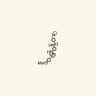 COc1ccc(-c2ccnc(Nc3cccc(NC(=O)c4ccc(CN5CCCCC5)cc4)c3)n2)cc1